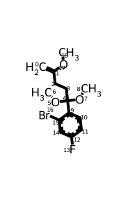 C=C(CCC(OC)(OC)c1ccc(F)cc1Br)OC